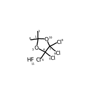 CC1(C)OC(Cl)(Cl)C(Cl)(Cl)O1.F